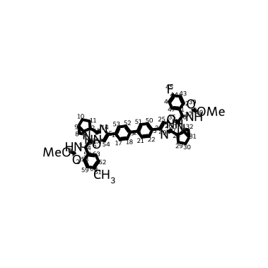 COC(=O)N[C@H](C(=O)N1CC2CCC1(c1nc(-c3ccc(-c4ccc(-c5c[nH]c(C67CCC(CN6C(=O)[C@@H](NC(=O)OC)c6ccc(F)cc6)C7)n5)cc4)cc3)c[nH]1)C2)c1ccc(C)cc1